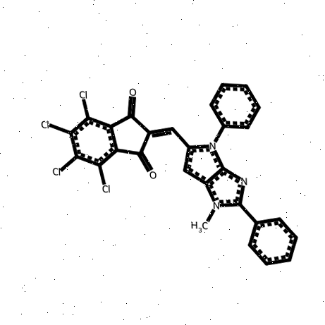 Cn1c(-c2ccccc2)nc2c1cc(C=C1C(=O)c3c(Cl)c(Cl)c(Cl)c(Cl)c3C1=O)n2-c1ccccc1